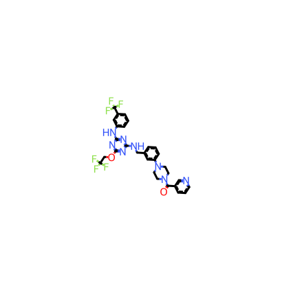 O=C(c1cccnc1)N1CCN(c2cccc(CNc3nc(Nc4cccc(C(F)(F)F)c4)nc(OCC(F)(F)F)n3)c2)CC1